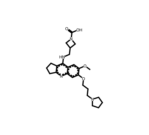 COc1cc2c(NCC3CN(C(=O)O)C3)c3c(nc2cc1OCCCN1CCCC1)CCC3